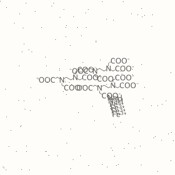 O=C([O-])CN(CCN(CC(=O)[O-])CC(=O)[O-])CC(=O)[O-].O=C([O-])CN(CCN(CC(=O)[O-])CC(=O)[O-])CC(=O)[O-].O=C([O-])CN(CCN(CC(=O)[O-])CC(=O)[O-])CC(=O)[O-].[Fe+3].[Fe+3].[Fe+3].[Fe+3].[NaH].[NaH]